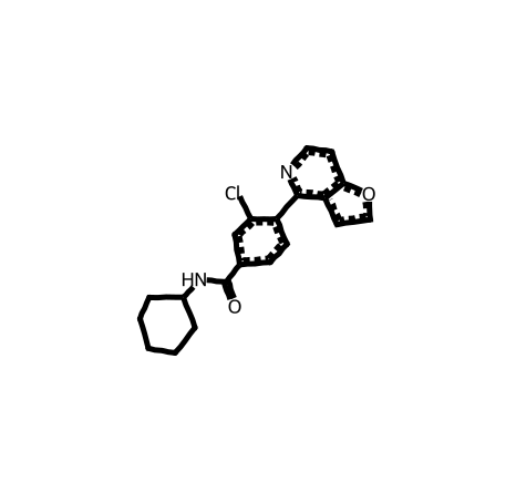 O=C(NC1CCCCC1)c1ccc(-c2nccc3occc23)c(Cl)c1